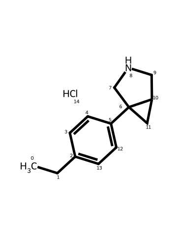 CCc1ccc(C23CNCC2C3)cc1.Cl